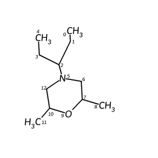 CCC(CC)N1CC(C)OC(C)C1